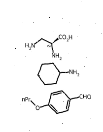 CCCOc1ccc(C=O)cc1.NC1CCCCC1.NC[C@H](N)C(=O)O